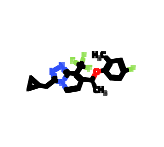 Cc1cc(F)ccc1O[C@@H](C)c1ccn2c(CC3CC3)nnc2c1C(F)(F)F